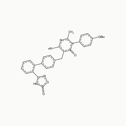 CCCc1nc(C)n(-c2ccc(OCC(C)C)cc2)c(=O)c1Cc1ccc(-c2ccccc2-c2noc(=O)[nH]2)cc1